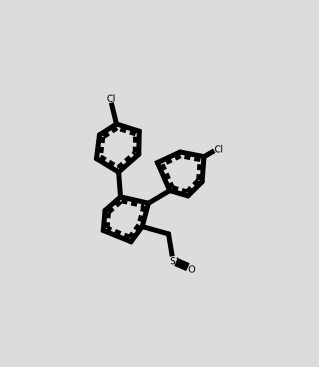 O=[S+]Cc1cccc(-c2ccc(Cl)cc2)c1-c1ccc(Cl)cc1